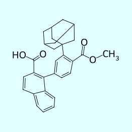 COC(=O)c1ccc(-c2c(C(=O)O)ccc3ccccc23)cc1C12CC3CC(CC(C3)C1)C2